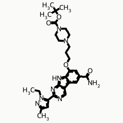 CCn1nc(C)cc1-c1ncc2c(n1)[nH]c1c(OCCCN3CCN(C(=O)OC(C)(C)C)CC3)cc(C(N)=O)cc12